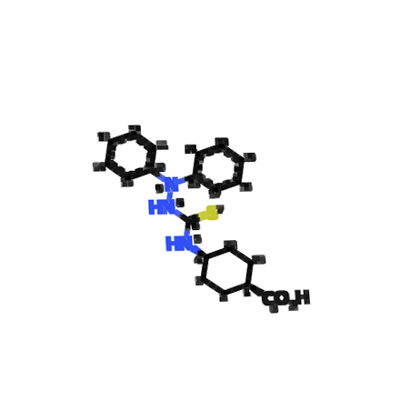 O=C(O)[C@H]1CC[C@@H](NC(=S)NN(c2ccccc2)c2ccccc2)CC1